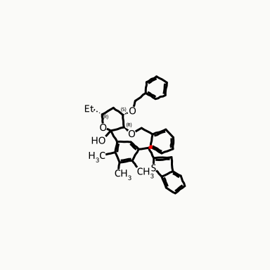 CC[C@@H]1C[C@H](OCc2ccccc2)[C@@H](OCc2ccccc2)C(O)(c2cc(Cc3cc4ccccc4s3)c(C)c(C)c2C)O1